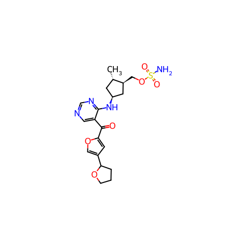 C[C@H]1C[C@H](Nc2ncncc2C(=O)c2cc(C3CCCO3)co2)C[C@@H]1COS(N)(=O)=O